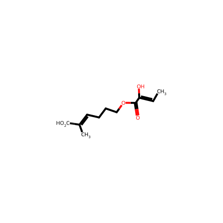 CC=C(O)C(=O)OCCCC=C(C)C(=O)O